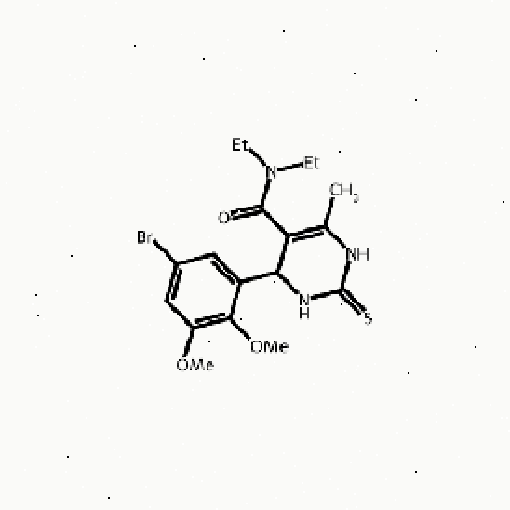 CCN(CC)C(=O)C1=C(C)NC(=S)NC1c1cc(Br)cc(OC)c1OC